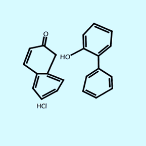 Cl.O=C1C=Cc2ccccc2C1.Oc1ccccc1-c1ccccc1